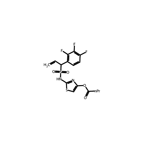 C=CC(c1ccc(F)c(F)c1F)S(=O)(=O)Nc1nc(OC(=O)CCC)cs1